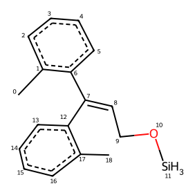 Cc1ccccc1C(=CCO[SiH3])c1ccccc1C